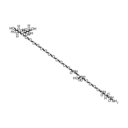 NCC(=O)NCC(=O)NCC(=O)NCCOCCOCCOCCOCCC(=O)N[C@@H](CCCCNC(=O)CCOCCOCCOCCOCCOCCOCCOCCOCCOCCOCCOCCOCCN(C[C@H](O)[C@@H](O)[C@H](O)[C@H](O)CO)C[C@H](O)[C@@H](O)[C@H](O)[C@H](O)CO)C(=O)O